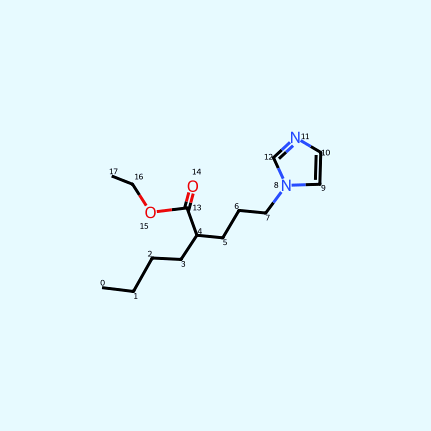 CCCCC(CCCn1ccnc1)C(=O)OCC